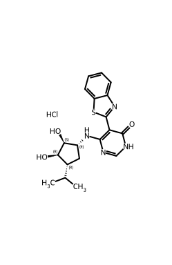 CC(C)[C@H]1C[C@@H](Nc2nc[nH]c(=O)c2-c2nc3ccccc3s2)[C@H](O)[C@@H]1O.Cl